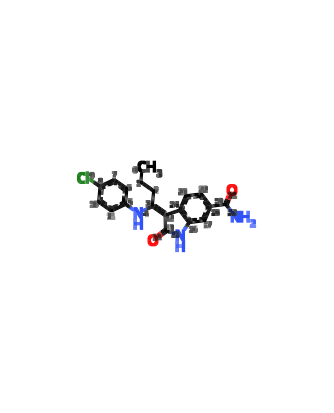 CCC/C(Nc1ccc(Cl)cc1)=C1/C(=O)Nc2cc(C(N)=O)ccc21